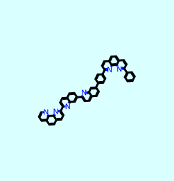 c1ccc(-c2ccc3ccc4ccc(-c5ccc(-c6ccc7ccc(-c8ccc9ccc(-c%10ccc%11ccc%12cccnc%12c%11n%10)nc9c8)nc7c6)cc5)nc4c3n2)cc1